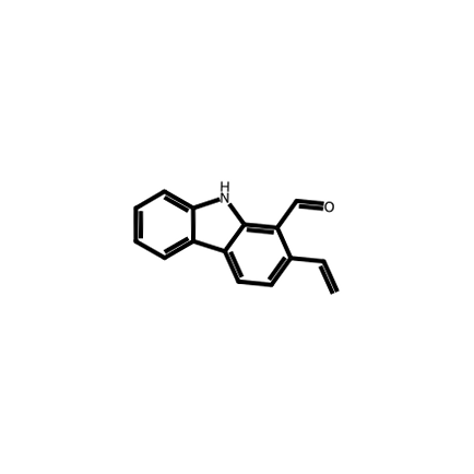 C=Cc1ccc2c([nH]c3ccccc32)c1C=O